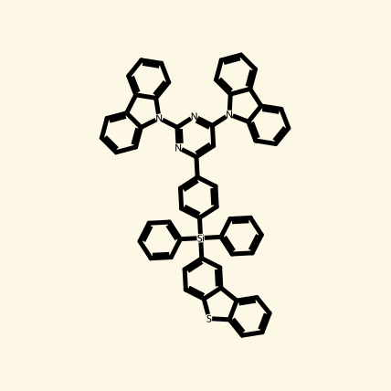 c1ccc([Si](c2ccccc2)(c2ccc(-c3cc(-n4c5ccccc5c5ccccc54)nc(-n4c5ccccc5c5ccccc54)n3)cc2)c2ccc3sc4ccccc4c3c2)cc1